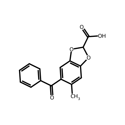 Cc1cc2c(cc1C(=O)c1ccccc1)OC(C(=O)O)O2